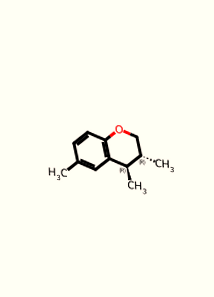 Cc1ccc2c(c1)[C@H](C)[C@@H](C)CO2